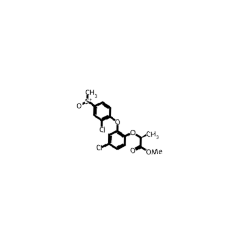 COC(=O)[C@H](C)Oc1ccc(Cl)cc1Oc1ccc([S+](C)[O-])cc1Cl